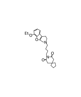 CCOc1cccc2c3c(oc12)CN(CCCCN1C(=O)CC2(CCCC2)CC1=O)CC3